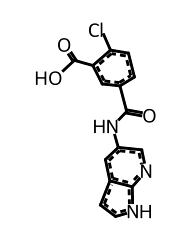 O=C(Nc1cnc2[nH]ccc2c1)c1ccc(Cl)c(C(=O)O)c1